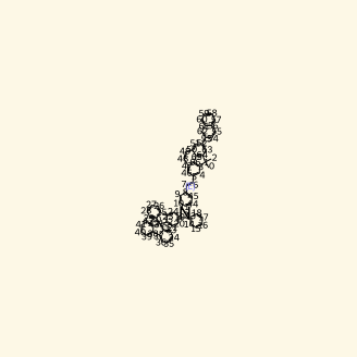 CC1(C)c2cc(/C=C/c3ccc(N(c4ccccc4)c4ccc5c(c4)-c4ccccc4C54c5ccccc5-c5ccccc54)cc3)cc3ccc4cc(-c5ccc6ccccc6c5)cc1c4c23